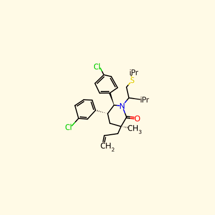 C=CC[C@@]1(C)C[C@H](c2cccc(Cl)c2)[C@@H](c2ccc(Cl)cc2)N(C(CSC(C)C)C(C)C)C1=O